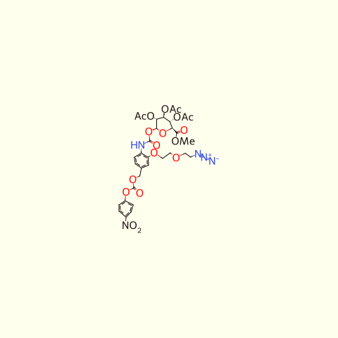 COC(=O)[C@H]1O[C@@H](OC(=O)Nc2ccc(COC(=O)Oc3ccc([N+](=O)[O-])cc3)cc2OCCOCCN=[N+]=[N-])[C@H](OC(C)=O)[C@@H](OC(C)=O)[C@@H]1OC(C)=O